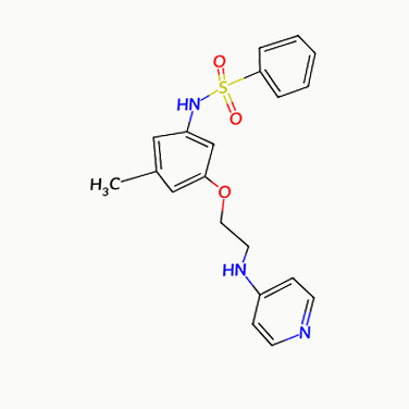 Cc1cc(NS(=O)(=O)c2ccccc2)cc(OCCNc2ccncc2)c1